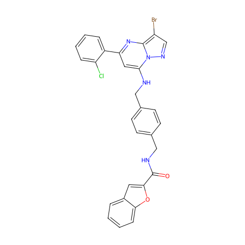 O=C(NCc1ccc(CNc2cc(-c3ccccc3Cl)nc3c(Br)cnn23)cc1)c1cc2ccccc2o1